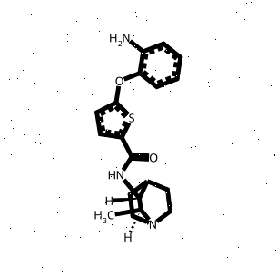 C[C@H]1[C@H](NC(=O)c2ccc(Oc3ccccc3N)s2)C2CCN1CC2